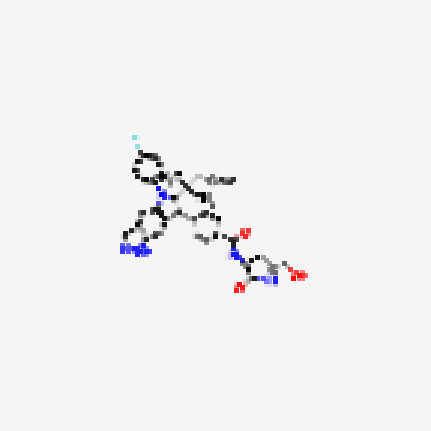 COCC(C)(C)c1c(-c2ccc(C(=O)N[C@H]3C[C@@H](CO)NC3=O)cc2)c2cc3[nH]ncc3cc2n1-c1ccc(F)cc1